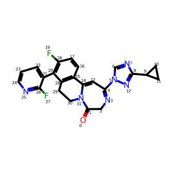 O=C1CN=C(n2cnc(C3CC3)n2)C=C2c3ccc(F)c(-c4cccnc4F)c3CCN12